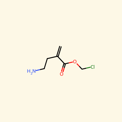 C=C(CCN)C(=O)OCCl